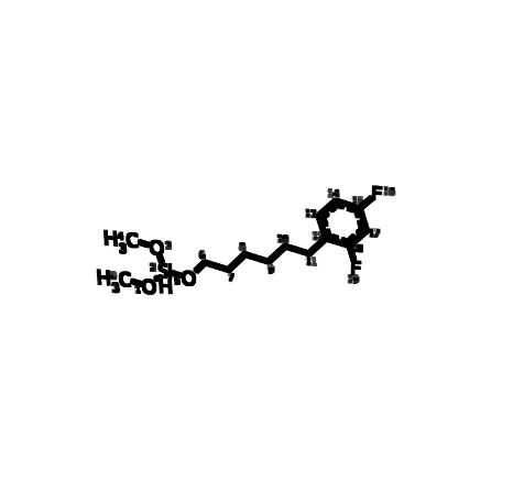 CO[SiH](OC)OCCCCCCc1ccc(F)cc1F